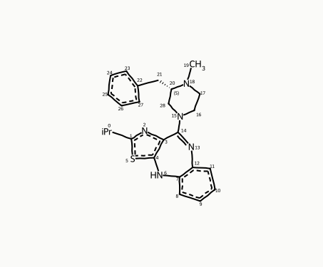 CC(C)c1nc2c(s1)Nc1ccccc1N=C2N1CCN(C)[C@@H](Cc2ccccc2)C1